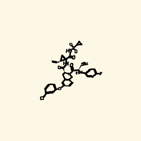 C=C[C@@H]1C[C@]1(NC(=O)[C@H]1Cc2cc(Oc3cccc(Cl)c3)ccc2CN1C(=O)[C@@H](Nc1ccc(F)cc1)C(C)(C)C)C(=O)NS(=O)(=O)C1CC1